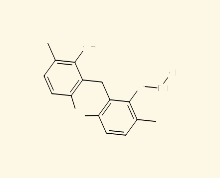 Cc1ccc(C)c(Cc2c(C)ccc(C)c2OPCl)c1O